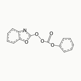 O=C(OOc1nc2ccccc2o1)Oc1ccccc1